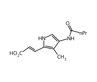 CCCC(=O)Nc1c[nH]c(/C=C/C(=O)O)c1C